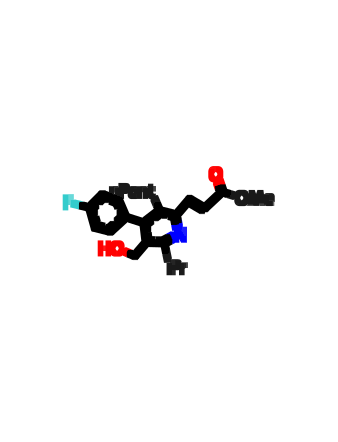 CCCCCc1c(C=CC(=O)OC)nc(C(C)C)c(CO)c1-c1ccc(F)cc1